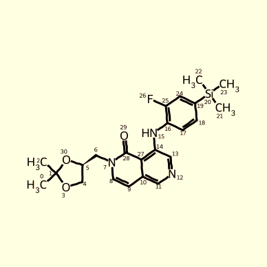 CC1(C)OC[C@H](Cn2ccc3cncc(Nc4ccc([Si](C)(C)C)cc4F)c3c2=O)O1